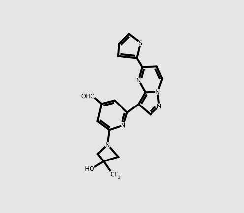 O=Cc1cc(-c2cnn3ccc(-c4cccs4)nc23)nc(N2CC(O)(C(F)(F)F)C2)c1